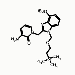 CC(C)COc1cccc2c1nc(Cn1cccc(N)c1=O)n2COCC[Si](C)(C)C